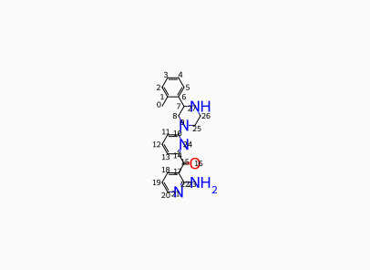 Cc1ccccc1C1CN(c2cccc(C(=O)c3cccnc3N)n2)CCN1